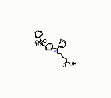 O=C(O)CCC/C=C(/c1ccc(NS(=O)(=O)c2ccccc2)cc1)c1cccnc1